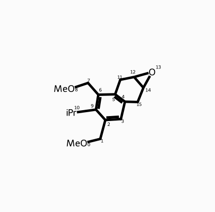 COCc1cc2c(c(COC)c1C(C)C)CC1OC1C2